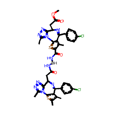 COC(=O)CC1N=C(c2ccc(Cl)cc2)c2c(sc(C(=O)NBNC(=O)CC3N=C(c4ccc(Cl)cc4)c4c(sc(C)c4C)-n4c(C)nnc43)c2C)-n2c(C)nnc21